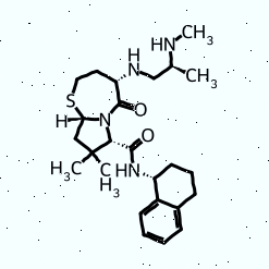 CN[C@@H](C)CN[C@H]1CCS[C@H]2CC(C)(C)[C@@H](C(=O)N[C@@H]3CCCc4ccccc43)N2C1=O